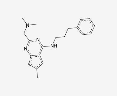 Cc1cc2c(NCCCc3ccccc3)nc(CN(C)C)nc2s1